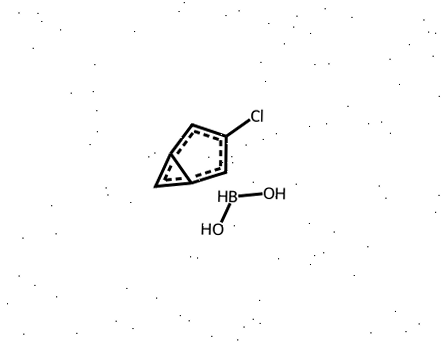 Clc1cc2cc-2c1.OBO